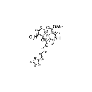 COC(=O)C1=C(C)NC(C)=C(C(=O)OCCC=Cc2cccs2)C1c1cccc([N+](=O)[O-])c1